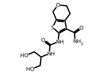 NC(=O)c1c(NC(=O)NC(CO)CO)sc2c1CCOC2